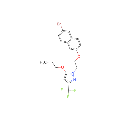 CCCOc1cc(C(F)(F)F)nn1CCOc1ccc2cc(Br)ccc2c1